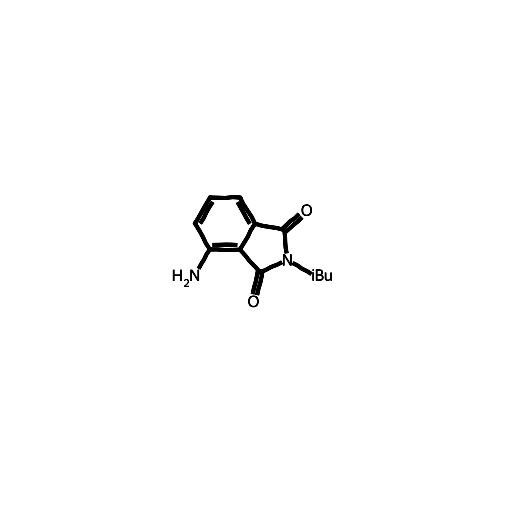 CCC(C)N1C(=O)c2cccc(N)c2C1=O